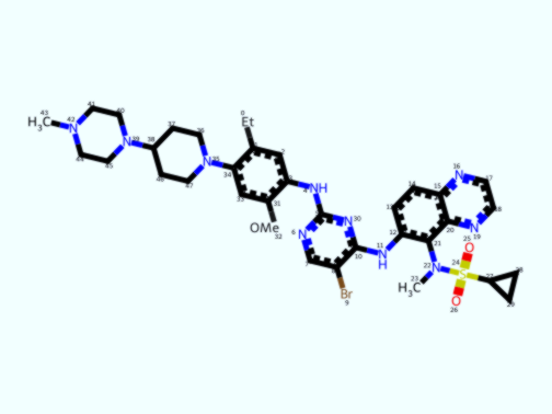 CCc1cc(Nc2ncc(Br)c(Nc3ccc4nccnc4c3N(C)S(=O)(=O)C3CC3)n2)c(OC)cc1N1CCC(N2CCN(C)CC2)CC1